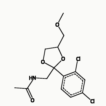 COCC1COC(CNC(C)=O)(c2ccc(Cl)cc2Cl)O1